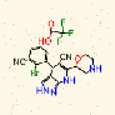 N#CC1=C(C2CNCCO2)Nc2n[nH]cc2C1c1cccc(C#N)c1Br.O=C(O)C(F)(F)F